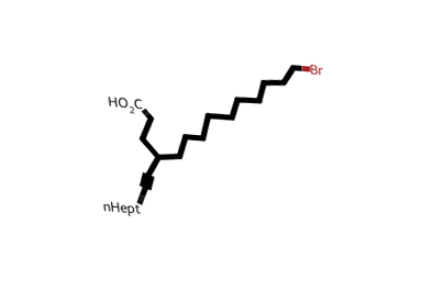 CCCCCCCC#CC(CCCCCCCCCCBr)CCC(=O)O